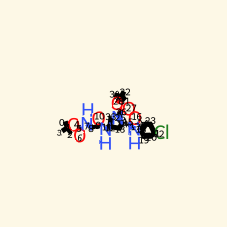 CC(C)(C)OC(=O)NCC(=O)NC1C[C@@H](C(=O)Nc2ccc(Cl)cc2)N(C(=O)OC(C)(C)C)C1